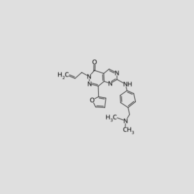 C=CCn1nc(-c2ccco2)c2nc(Nc3ccc(CN(C)C)cc3)ncc2c1=O